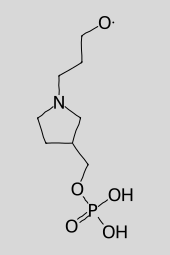 [O]CCCN1CCC(COP(=O)(O)O)C1